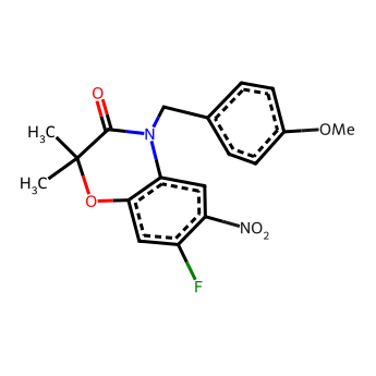 COc1ccc(CN2C(=O)C(C)(C)Oc3cc(F)c([N+](=O)[O-])cc32)cc1